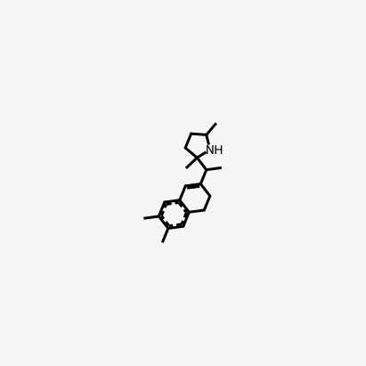 Cc1cc2c(cc1C)CCC(C(C)C1(C)CCC(C)N1)=C2